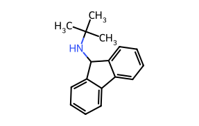 CC(C)(C)NC1c2ccccc2-c2ccccc21